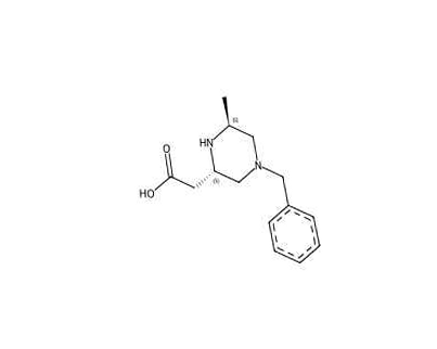 C[C@H]1CN(Cc2ccccc2)C[C@H](CC(=O)O)N1